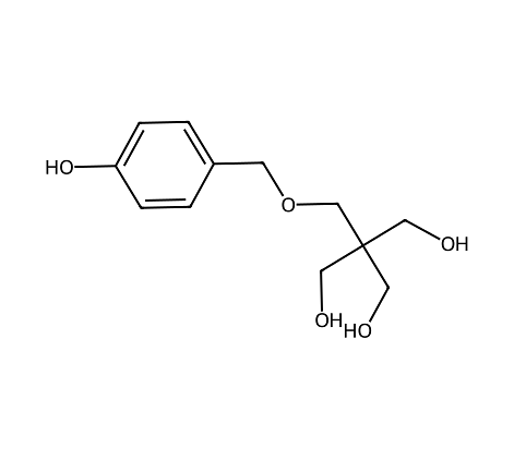 OCC(CO)(CO)COCc1ccc(O)cc1